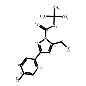 CC(C)(C)OC(=O)n1nc(-c2ccc(Cl)cn2)cc1CBr